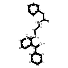 CC(Cc1ccccc1)NCCSc1ncccc1C(=O)c1ccccc1